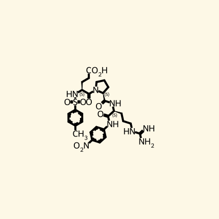 Cc1ccc(S(=O)(=O)N[C@@H](CCC(=O)O)C(=O)N2CCC[C@H]2C(=O)N[C@@H](CCCNC(=N)N)C(=O)Nc2ccc([N+](=O)[O-])cc2)cc1